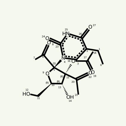 CCc1cn([C@]2(C(C)=O)O[C@H](CO)[C@@H](O)[C@]2(OC(C)=O)C(C)=O)c(=O)[nH]c1=O